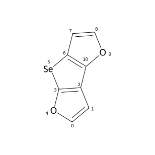 c1cc2c(o1)[se]c1ccoc12